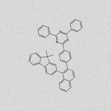 CC1(C)c2ccccc2-c2ccc(-c3c(-c4ccc(-c5nc(-c6ccccc6)nc(-c6ccccc6)n5)cc4)ccc4ccccc34)cc21